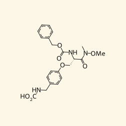 CON(C)C(=O)[C@H](COc1ccc(CNC(=O)O)cc1)NC(=O)OCc1ccccc1